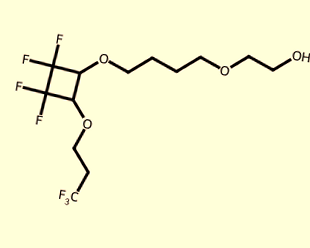 OCCOCCCCOC1C(OCCC(F)(F)F)C(F)(F)C1(F)F